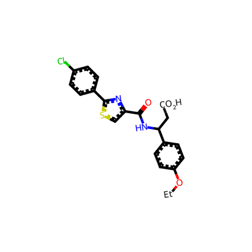 CCOc1ccc(C(CC(=O)O)NC(=O)c2csc(-c3ccc(Cl)cc3)n2)cc1